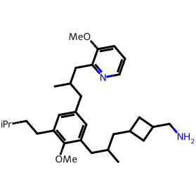 COc1cccnc1CC(C)Cc1cc(CCC(C)C)c(OC)c(CC(C)CC2CC(CN)C2)c1